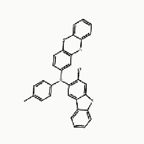 Cc1ccc(N(c2ccc3c(c2)Sc2ccccc2S3)c2cc3c(cc2Cl)sc2ccccc23)cc1